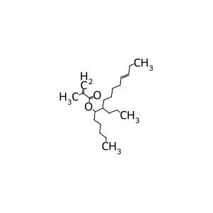 C=C(C)C(=O)OC(CCCCC)C(CCC)CCCCC=CCC